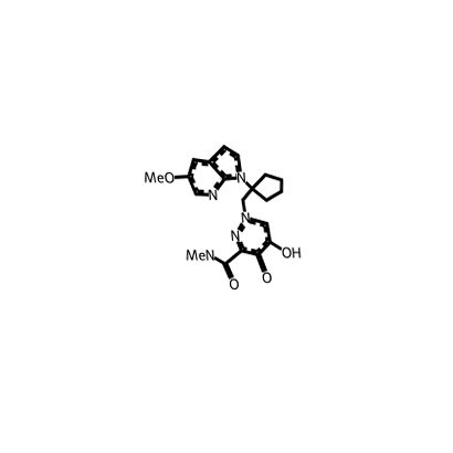 CNC(=O)c1nn(CC2(n3ccc4cc(OC)cnc43)CCCC2)cc(O)c1=O